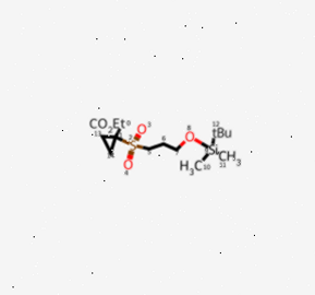 CCOC(=O)C1(S(=O)(=O)CCCO[Si](C)(C)C(C)(C)C)CC1